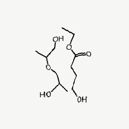 CC(O)COC(C)CO.CCOC(=O)CCCO